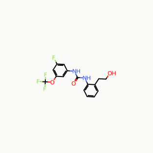 O=C(Nc1cc(F)cc(OC(F)(F)F)c1)Nc1ccccc1CCO